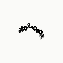 CS(=O)(=O)Oc1ccc(C(=O)CCN2CCC(O)(Cc3ccc(OC(F)(F)F)cc3)CC2)cc1